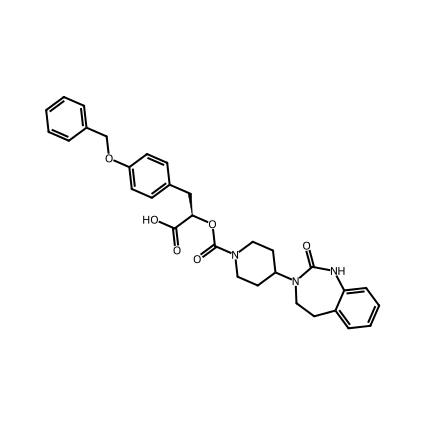 O=C(O)[C@@H](Cc1ccc(OCc2ccccc2)cc1)OC(=O)N1CCC(N2CCc3ccccc3NC2=O)CC1